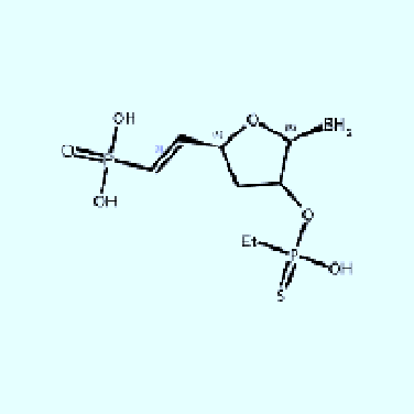 B[C@@H]1O[C@H](/C=C/P(=O)(O)O)CC1OP(O)(=S)CC